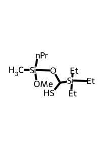 CCC[Si](C)(OC)OC(S)[Si](CC)(CC)CC